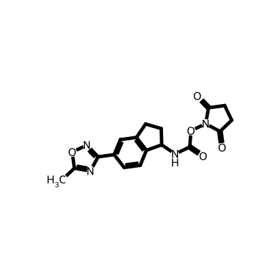 Cc1nc(-c2ccc3c(c2)CCC3NC(=O)ON2C(=O)CCC2=O)no1